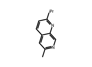 Cc1cc2ccc(C(C)C)nc2cn1